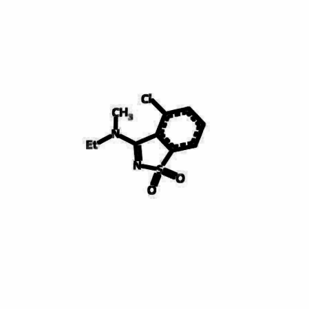 CCN(C)C1=NS(=O)(=O)c2cccc(Cl)c21